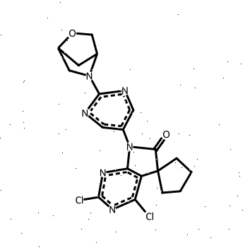 O=C1N(c2cnc(N3CC4CC3CO4)nc2)c2nc(Cl)nc(Cl)c2C12CCCC2